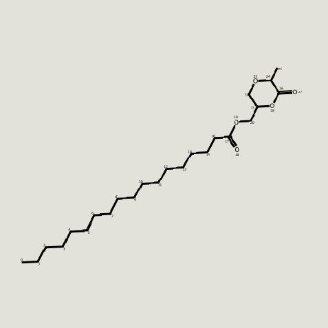 CCCCCCCCCCCCCCCCCC(=O)OCC1COC(C)C(=O)O1